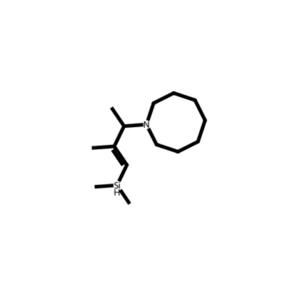 CC(=C[SiH](C)C)C(C)N1CCCCCCC1